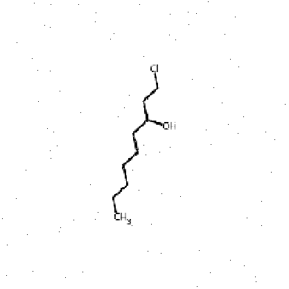 CCCCCCC(O)CCCl